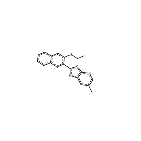 CCSc1cc2ccccc2nc1-c1nc2cc(C)cnc2o1